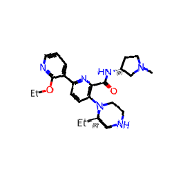 CCOc1ncccc1-c1ccc(N2CCNC[C@H]2CC)c(C(=O)N[C@@H]2CCN(C)C2)n1